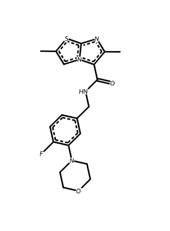 Cc1cn2c(C(=O)NCc3ccc(F)c(N4CCOCC4)c3)c(C)nc2s1